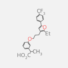 CCc1oc(-c2ccc(C(F)(F)F)cc2)cc1CCCOc1cccc(C(C)C(=O)O)c1